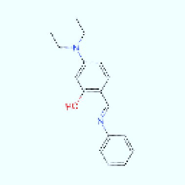 CCN(CC)c1ccc(C=Nc2ccccc2)c(O)c1